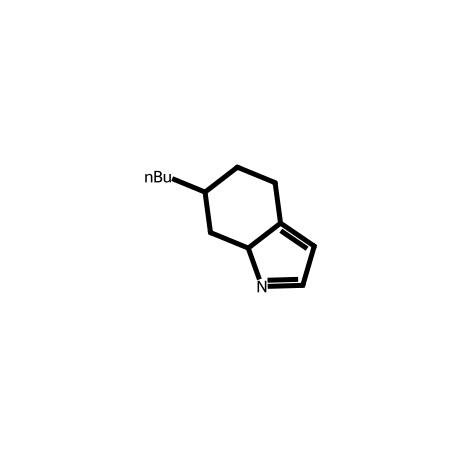 CCCCC1CCC2=CC=NC2C1